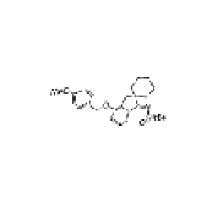 COc1ccc(COc2cccc3c2CC2(CCCCC2)/C3=N/[S@+]([O-])C(C)(C)C)cc1